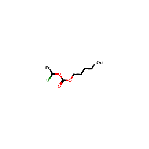 CCCCCCCCCCCCOC(=O)OC(Cl)C(C)C